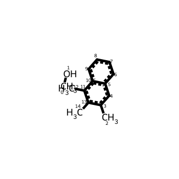 CO.Cc1cc2ccccc2c(C)c1C